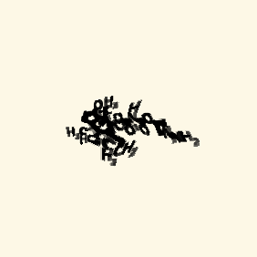 C=C[C@]1(C)C[C@@H](OC(=O)NC(=O)OC2CN(N)C2)[C@]2(C)[C@H](C)CC[C@]3(CCC(=O)[C@H]32)[C@@H](C)[C@@H]1O